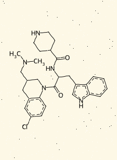 CN(C)CC1Cc2cc(Cl)ccc2N(C(=O)C(Cc2c[nH]c3ccccc23)NC(=O)C2CCNCC2)C1